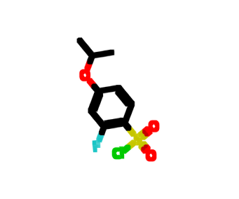 CC(C)Oc1ccc(S(=O)(=O)Cl)c(F)c1